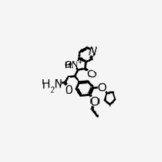 CCOc1ccc(C(CC(N)=O)C2C(=O)c3cnccc3[NH+]2[O-])cc1OC1CCCC1